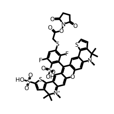 CN1c2cc3c(cc2-c2sccc2C1(C)C)C(c1c(F)c(SCC(=O)ON2C(=O)CCC2=O)cc(F)c1S(=O)(=O)O)=c1cc2c(cc1O3)=[N+](C)C(C)(C)c1cc(S(=O)(=O)O)sc1-2